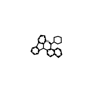 N=C(c1c(C2c3ccccc3-c3ccccc32)ccc2ccccc12)C1CCCCC1